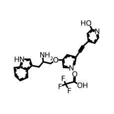 NC(COc1cncc(C#Cc2ccnc(O)c2)c1)Cc1c[nH]c2ccccc12.O=C(O)C(F)(F)F